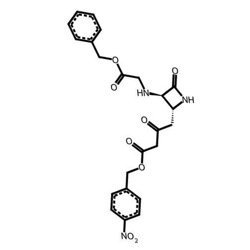 O=C(CC(=O)OCc1ccc([N+](=O)[O-])cc1)C[C@H]1NC(=O)[C@@H]1NCC(=O)OCc1ccccc1